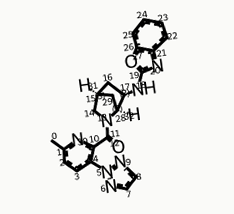 Cc1ccc(-n2nccn2)c(C(=O)N2C[C@H]3C[C@@H](Nc4nc5ccccc5o4)[C@@H]2C3)n1